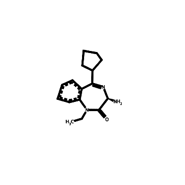 CCN1C(=O)[C@H](N)N=C(C2CCCC2)c2ccccc21